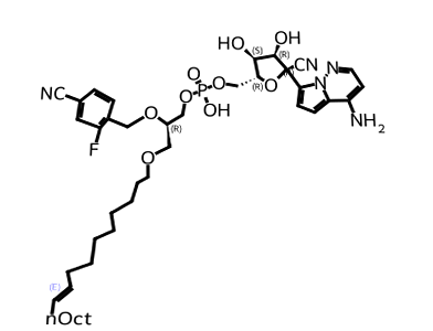 CCCCCCCC/C=C/CCCCCCCCOC[C@H](COP(=O)(O)OC[C@H]1O[C@@](C#N)(c2ccc3c(N)ccnn23)[C@H](O)[C@@H]1O)OCc1ccc(C#N)cc1F